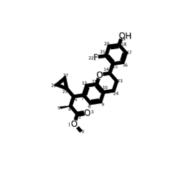 COC(=O)[C@@H](C)C(c1ccc2c(c1)OC(c1ccc(O)cc1F)CC2)C1CC1